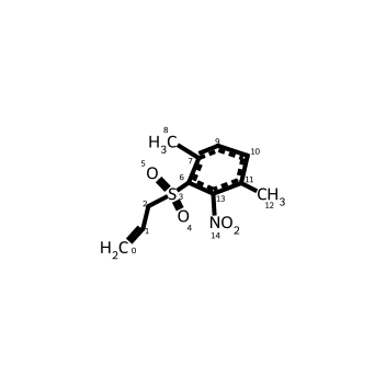 C=CCS(=O)(=O)c1c(C)ccc(C)c1[N+](=O)[O-]